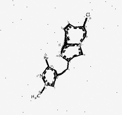 Cn1cc(Cc2cn3cc(Cl)ccc3n2)c(Br)n1